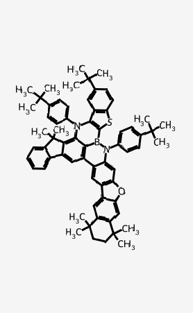 CC(C)(C)c1ccc(N2B3c4sc5ccc(C(C)(C)C)cc5c4N(c4ccc(C(C)(C)C)cc4)c4c3c(cc3c4C(C)(C)c4ccccc4-3)-c3cc4c(cc32)oc2cc3c(cc24)C(C)(C)CCC3(C)C)cc1